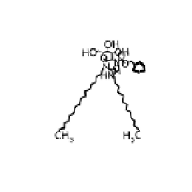 CCCCCCCCCCCCCCCCCCN(C(=O)NCCCCCCCCCCCCCC)[C@@H]1O[C@H](CO)[C@H](O)[C@H](O)[C@@H]1NC(=O)OCc1ccccc1